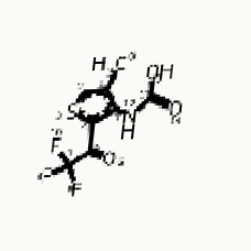 Cc1csc(C(=O)C(F)(F)F)c1NC(=O)O